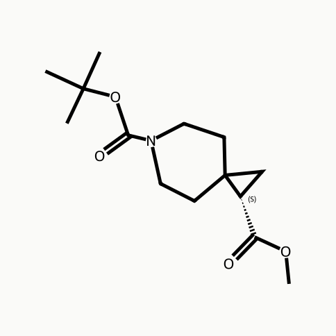 COC(=O)[C@H]1CC12CCN(C(=O)OC(C)(C)C)CC2